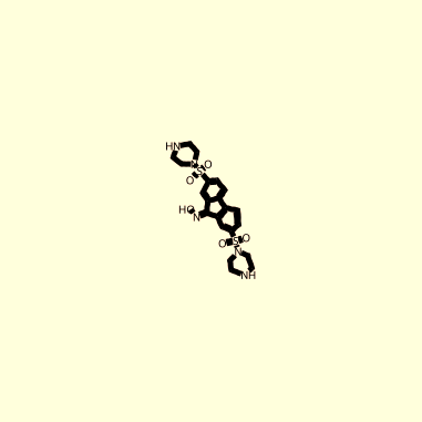 O=S(=O)(c1ccc2c(c1)C(=NO)c1cc(S(=O)(=O)N3CCNCC3)ccc1-2)N1CCNCC1